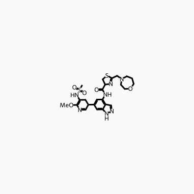 COC1=C(NS(C)(=O)=O)CC(c2cc(NC(=O)C3CSC(CN4CCCOCC4)=N3)c3cn[nH]c3c2)C=N1